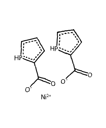 O=C([O-])c1ccc[pH]1.O=C([O-])c1ccc[pH]1.[Ni+2]